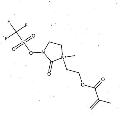 C=C(C)C(=O)OCC[N+]1(C)CCN(OS(=O)(=O)C(F)(F)F)C1=O